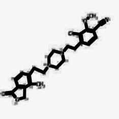 COc1c(C#N)ccc(CCN2CCN(CCc3ccc4c(c3C)COC4=O)CC2)c1Cl